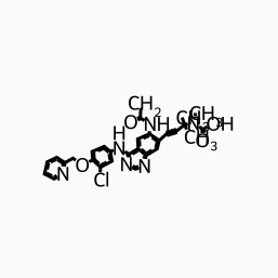 C=CC(=O)Nc1cc2c(Nc3ccc(OCc4ccccn4)c(Cl)c3)ncnc2cc1C#CC(C)(C)N(C)C(=O)O